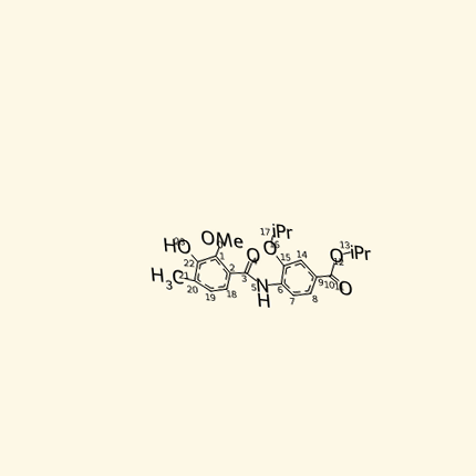 COc1c(C(=O)Nc2ccc(C(=O)OC(C)C)cc2OC(C)C)ccc(C)c1O